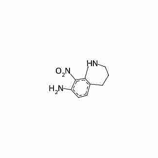 Nc1ccc2c(c1[N+](=O)[O-])CNCCC2